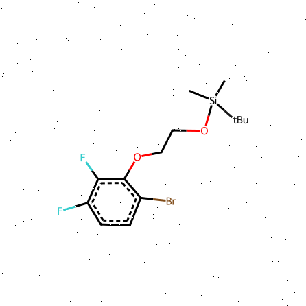 CC(C)(C)[Si](C)(C)OCCOc1c(Br)ccc(F)c1F